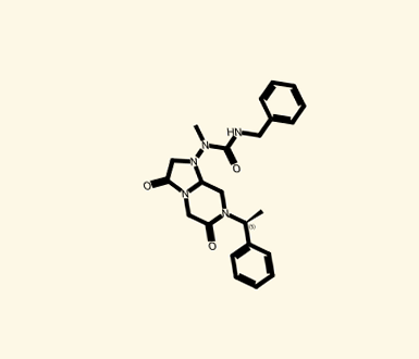 C[C@@H](c1ccccc1)N1CC2N(CC1=O)C(=O)CN2N(C)C(=O)NCc1ccccc1